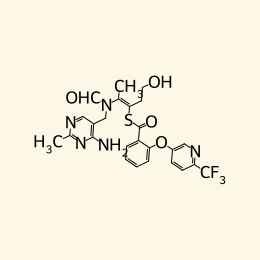 C/C(=C(\CCO)SC(=O)c1ccccc1Oc1ccc(C(F)(F)F)nc1)N(C=O)Cc1cnc(C)nc1N